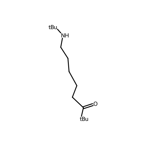 CC(C)(C)NCCCCCC(=O)C(C)(C)C